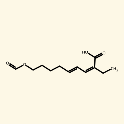 CCC(=CC=CCCCCOC=O)C(=O)O